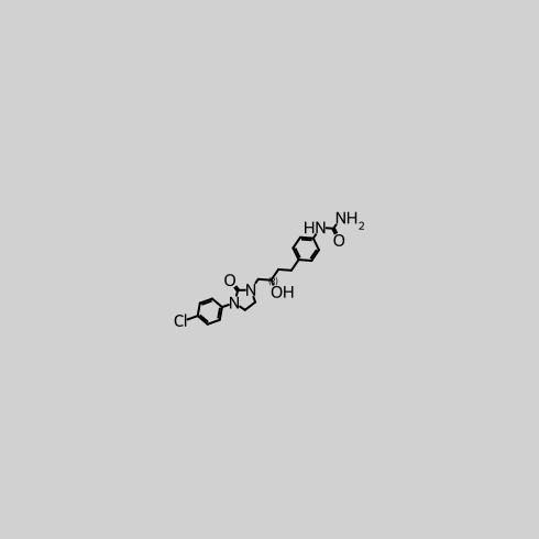 NC(=O)Nc1ccc(CC[C@@H](O)CN2CCN(c3ccc(Cl)cc3)C2=O)cc1